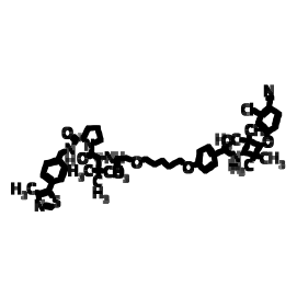 Cc1ncsc1-c1ccc(CNC(=O)[C@@H]2CCCN2C(=O)[C@@H](NC(=O)COCCCCCOc2ccc(C(=O)N[C@H]3C(C)(C)[C@H](Oc4ccc(C#N)c(Cl)c4)C3(C)C)cc2)C(C)(C)C)cc1